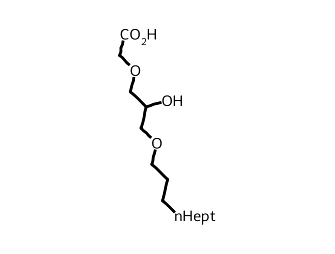 CCCCCCCCCCOCC(O)COCC(=O)O